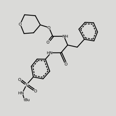 CC(C)(C)NS(=O)(=O)c1ccc(NC(=O)C(Cc2ccccc2)NC(=O)OC2CCOCC2)cc1